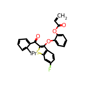 C=CC(=O)Oc1ccccc1Oc1c(C(=O)c2ccccc2C(C)C)sc2cc(F)ccc12